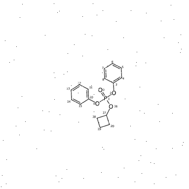 O=P(Oc1ccccc1)(Oc1ccccc1)OC1CCC1